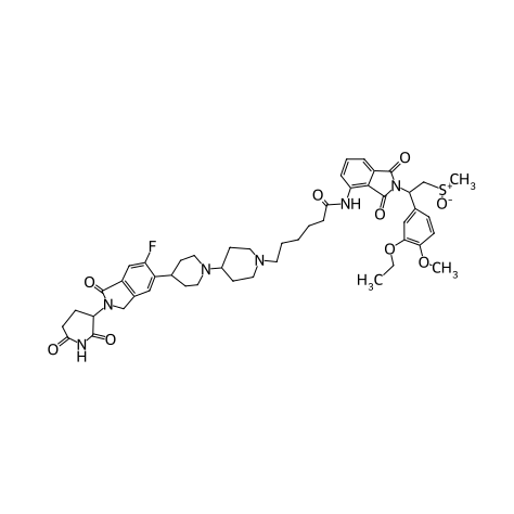 CCOc1cc(C(C[S+](C)[O-])N2C(=O)c3cccc(NC(=O)CCCCCN4CCC(N5CCC(c6cc7c(cc6F)C(=O)N(C6CCC(=O)NC6=O)C7)CC5)CC4)c3C2=O)ccc1OC